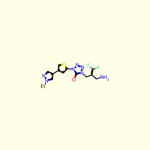 CCn1cc(-c2csc(-n3nnn(CC(CN)=C(F)F)c3=O)c2)cn1